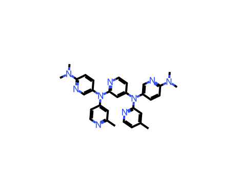 Cc1ccnc(N(c2ccc(N(C)C)nc2)c2ccnc(N(c3ccc(N(C)C)nc3)c3ccnc(C)c3)c2)c1